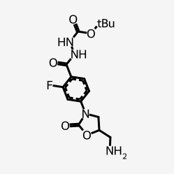 CC(C)(C)OC(=O)NNC(=O)c1ccc(N2CC(CN)OC2=O)cc1F